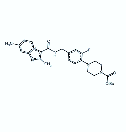 Cc1ccn2c(C(=O)NCc3ccc(N4CCN(C(=O)OCC(C)C)CC4)c(F)c3)c(C)nc2c1